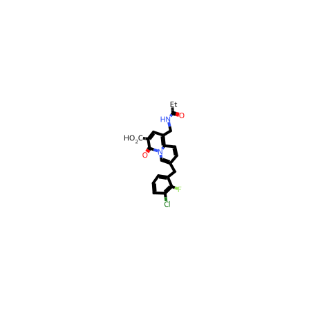 CCC(=O)NCc1cc(C(=O)O)c(=O)n2cc(Cc3cccc(Cl)c3F)ccc12